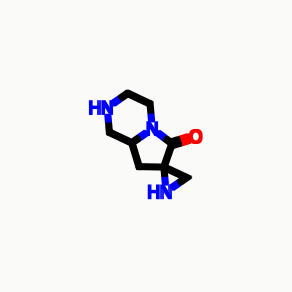 O=C1N2CCNCC2CC12CN2